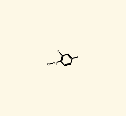 Fc1cc[c]([Mg][Cl])c(F)c1